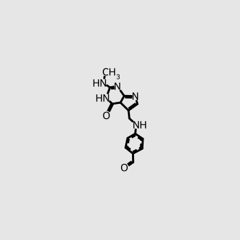 CNC1=NC2=NC=C(CNc3ccc(C=O)cc3)C2C(=O)N1